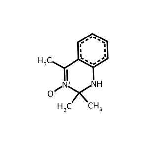 CC1=[N+]([O-])C(C)(C)Nc2ccccc21